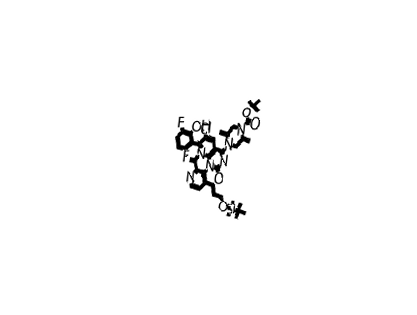 CC(C)c1nccc(CCCO[Si](C)(C)C(C)(C)C)c1-n1c(=O)nc(N2CC(C)N(C(=O)OC(C)(C)C)CC2C)c2cc(Cl)c(-c3c(F)ccc(F)c3O)nc21